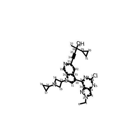 CCn1cc2nc(Cl)nc(-c3cn(C4CN(C5CC5)C4)c4cnc(C#CC(C)(O)C5CC5)cc34)c2n1